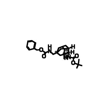 CC(C)(C)OC(=O)N[C@H]1[C@@H]2CC3C[C@H]1C[C@@](CNC(=O)OCc1ccccc1)(C3)C2